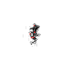 Cc1ccccc1-c1cccc(-c2cccc(N(c3cccc(C(C)C)c3)c3cc(C4CCCCC4)c4ccc5c(N(c6cccc(C(C)C)c6)c6cccc7c6oc6c(-c8ccccc8C)cccc67)cc(C6CCCCC6)c6ccc3c4c65)c2O)c1